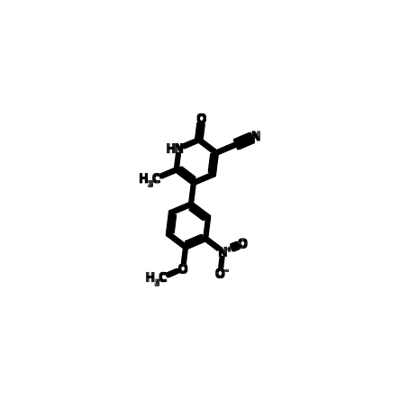 COc1ccc(-c2cc(C#N)c(=O)[nH]c2C)cc1[N+](=O)[O-]